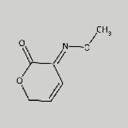 CON=C1C=CCOC1=O